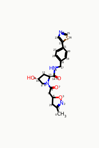 CC1=NOC(CC(=O)N2C[C@H](O)C[C@H]2C(=O)NCc2ccc(-c3cncs3)cc2)C1